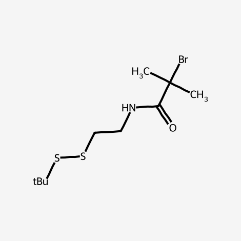 CC(C)(C)SSCCNC(=O)C(C)(C)Br